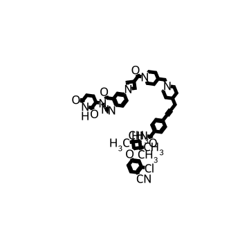 CC1(C)C(NC(=O)c2ccc(C#CCC3CCN(CC4CCN(C(=O)C5CN(c6ccc7nnn(C8CCC(=O)NC8=O)c(=O)c7c6)C5)CC4)CC3)cc2)C(C)(C)C1Oc1ccc(C#N)c(Cl)c1